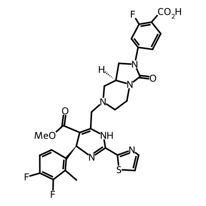 COC(=O)C1=C(CN2CCN3C(=O)N(c4ccc(C(=O)O)c(F)c4)C[C@@H]3C2)NC(c2nccs2)=N[C@H]1c1ccc(F)c(F)c1C